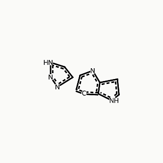 c1c[nH]nn1.c1cnc2cc[nH]c2c1